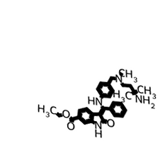 CCOC(=O)c1ccc2c(c1)NC(=O)C2=C(Nc1ccc(CN(C)CCC(C)(C)N)cc1)c1ccccc1